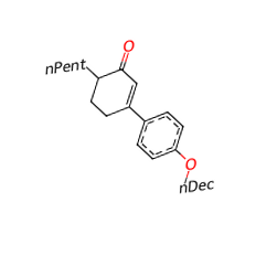 CCCCCCCCCCOc1ccc(C2=CC(=O)C(CCCCC)CC2)cc1